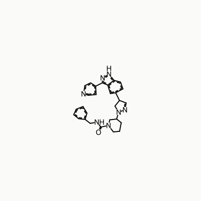 O=C(NCc1ccccc1)N1CCCC(N2CC(c3ccc4[nH]nc(-c5ccncc5)c4c3)C=N2)C1